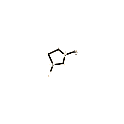 CCN1CCN(I)C1